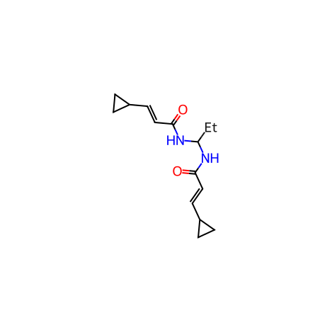 CCC(NC(=O)C=CC1CC1)NC(=O)C=CC1CC1